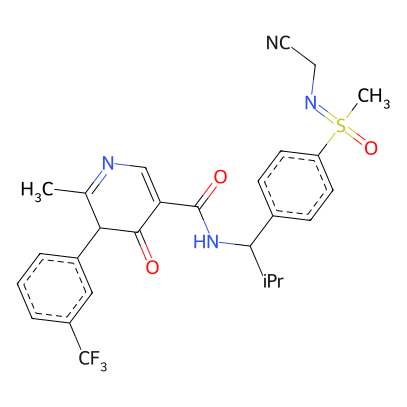 CC1=NC=C(C(=O)NC(c2ccc(S(C)(=O)=NCC#N)cc2)C(C)C)C(=O)C1c1cccc(C(F)(F)F)c1